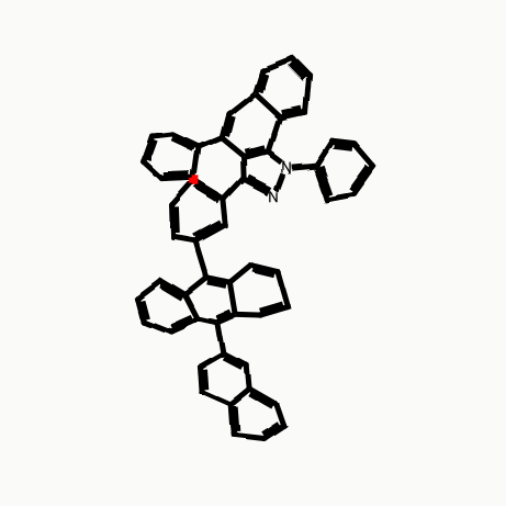 c1ccc(-c2cc3ccccc3c3c2c(-c2cccc(-c4c5ccccc5c(-c5ccc6ccccc6c5)c5ccccc45)c2)nn3-c2ccccc2)cc1